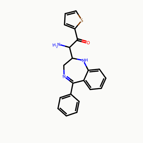 NC(C(=O)c1cccs1)C1CN=C(c2ccccc2)c2ccccc2N1